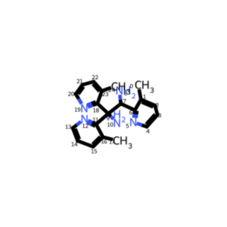 Cc1cccnc1C(N)C(N)(c1ncccc1C)c1ncccc1C